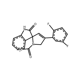 CC(=O)N1CC(c2cc(F)ccc2F)=CC12C(=O)Nc1ccccc12